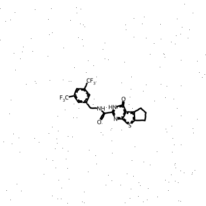 O=C(NCc1cc(C(F)(F)F)cc(C(F)(F)F)c1)c1nc2sc3c(c2c(=O)[nH]1)CCC3